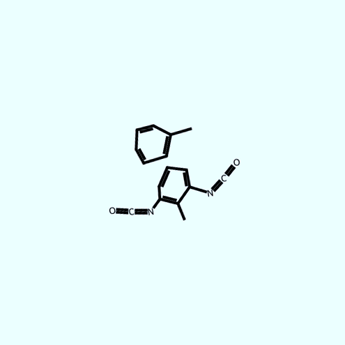 Cc1c(N=C=O)cccc1N=C=O.Cc1ccccc1